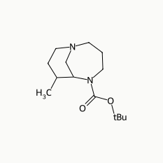 CC1CCN2CCCN(C(=O)OC(C)(C)C)C1C2